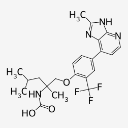 Cc1nc2c(-c3ccc(OCC(C)(CC(C)C)NC(=O)O)c(C(F)(F)F)c3)ccnc2[nH]1